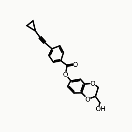 O=C(Oc1ccc2c(c1)OCC(CO)O2)c1ccc(C#CC2CC2)cc1